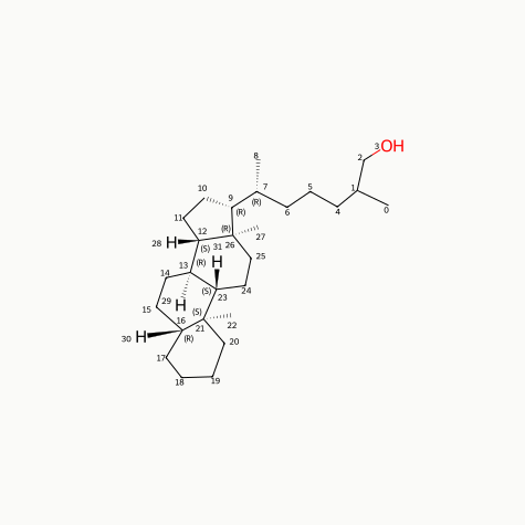 CC(CO)CCC[C@@H](C)[C@H]1CC[C@H]2[C@@H]3CC[C@H]4CCCC[C@]4(C)[C@H]3CC[C@]12C